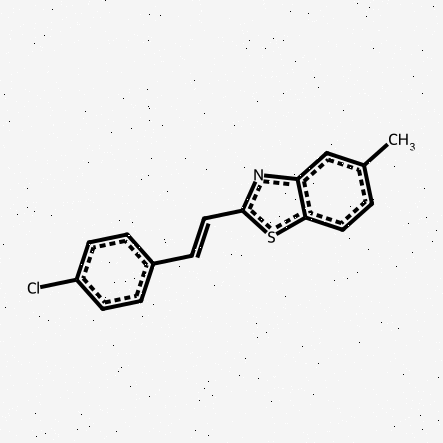 Cc1ccc2sc(/C=C/c3ccc(Cl)cc3)nc2c1